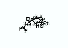 CCC1(O)C2CC3CC1CC(C(=O)OCC(F)F)(C3)C2